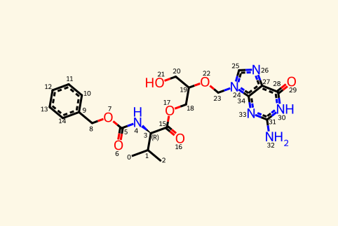 CC(C)[C@@H](NC(=O)OCc1ccccc1)C(=O)OCC(CO)OCn1cnc2c(=O)[nH]c(N)nc21